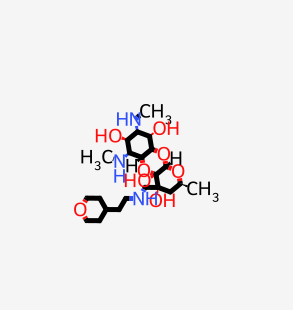 CN[C@@H]1[C@H](O)[C@H](NC)[C@H]2O[C@]3(O)[C@H](OC2[C@H]1O)O[C@H](C)C[C@@]3(O)CNCCC1CCOCC1